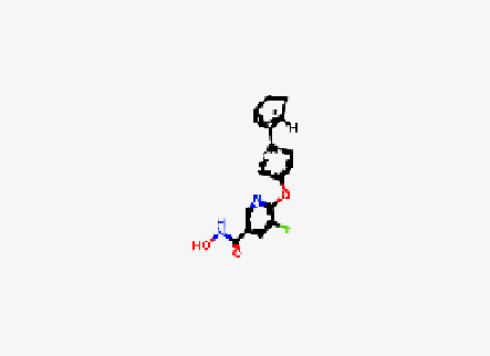 O=C(NO)c1cnc(Oc2ccc(C3CC4CC[C@H]3C4)cc2)c(F)c1